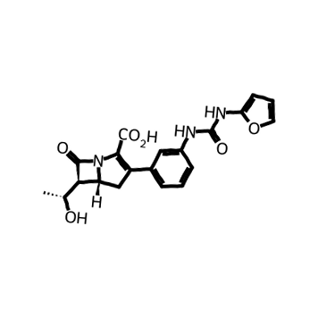 C[C@@H](O)[C@H]1C(=O)N2C(C(=O)O)=C(c3cccc(NC(=O)Nc4ccco4)c3)C[C@H]12